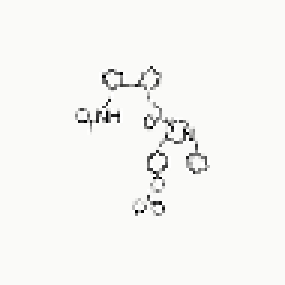 COC(=O)COc1ccc(CC2CN(Cc3ccccc3)CCN2C(=O)CCc2ccccc2Cc2ccccc2CCNC(C)=O)cc1